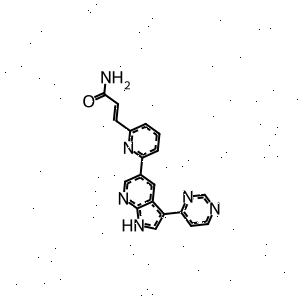 NC(=O)/C=C/c1cccc(-c2cnc3[nH]cc(-c4ccncn4)c3c2)n1